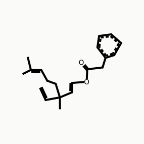 C=CC(C)(C=COC(=O)Cc1ccccc1)CCC=C(C)C